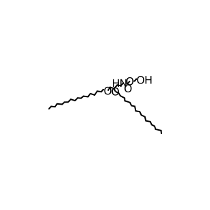 CCCCCCCCCCCCCCCCCCOCC(CCNC(=O)OCCO)OCCCCCCCCCCCCCCCCCC